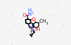 C[C@@H]1CC[C@@]2(O)[C@H]3Cc4ccc(C(N)=O)c5c4[C@@]2(CCN3CC2CC2)C1O5